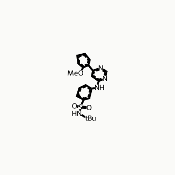 COc1ccccc1-c1cc(Nc2cccc(S(=O)(=O)NC(C)(C)C)c2)ncn1